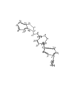 N#Cc1ccc(N2CCN(CCC3CCc4ccccc43)CC2)cc1